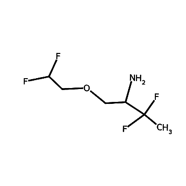 CC(F)(F)C(N)COCC(F)F